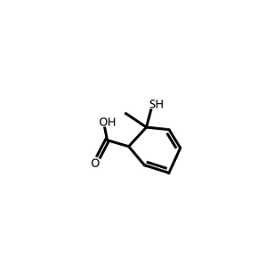 CC1(S)C=CC=CC1C(=O)O